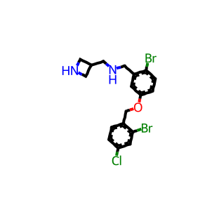 Clc1ccc(COc2ccc(Br)c(CNCC3CNC3)c2)c(Br)c1